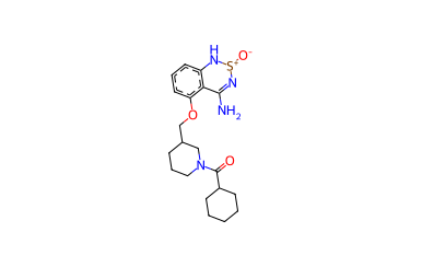 NC1=N[S+]([O-])Nc2cccc(OCC3CCCN(C(=O)C4CCCCC4)C3)c21